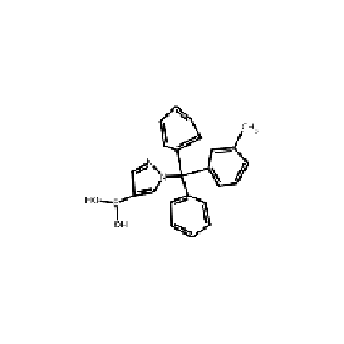 Cc1cccc(C(c2ccccc2)(c2ccccc2)n2cc(B(O)O)cn2)c1